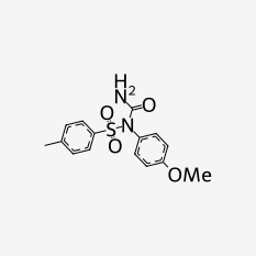 COc1ccc(N(C(N)=O)S(=O)(=O)c2ccc(C)cc2)cc1